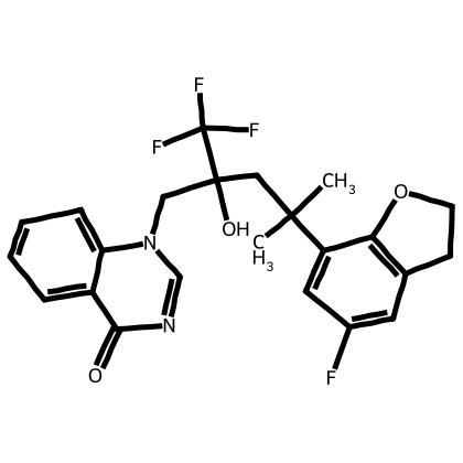 CC(C)(CC(O)(Cn1cnc(=O)c2ccccc21)C(F)(F)F)c1cc(F)cc2c1OCC2